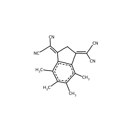 Cc1c(C)c(C)c2c(c1C)C(=C(C#N)C#N)CC2=C(C#N)C#N